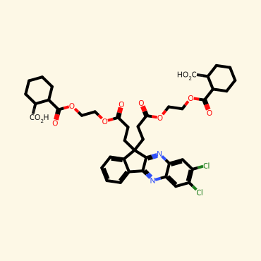 O=C(CCC1(CCC(=O)OCCOC(=O)C2CCCCC2C(=O)O)c2ccccc2-c2nc3cc(Cl)c(Cl)cc3nc21)OCCOC(=O)C1CCCCC1C(=O)O